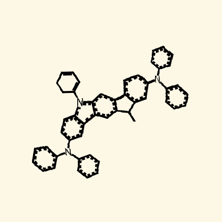 CC1c2cc(N(c3ccccc3)c3ccccc3)ccc2-c2cc3c(cc21)c1cc(N(c2ccccc2)c2ccccc2)ccc1n3C1=CC=CCC1